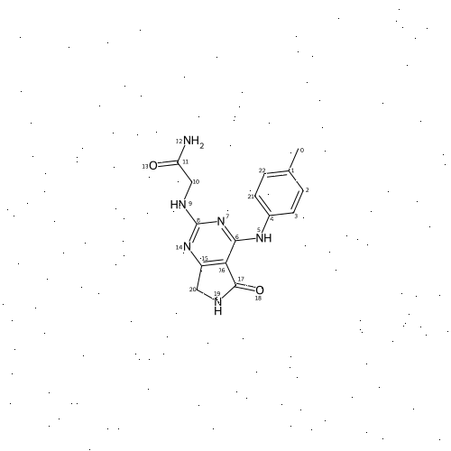 Cc1ccc(Nc2nc(NCC(N)=O)nc3c2C(=O)NC3)cc1